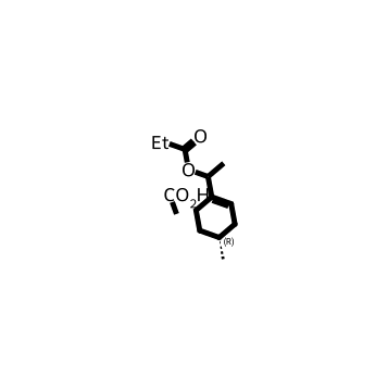 CC(=O)O.CCC(=O)OC(C)C1=CC[C@H](C)CC1